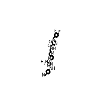 CN(C)Cc1ccc(Nc2nc(N)n(-c3ccc4c(n3)CC(CNC(=O)c3cncn(Cc5ccc(F)c(F)c5)c3=O)N4C)n2)cc1